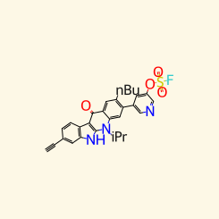 C#Cc1ccc2c(c1)[nH]c1c2c(=O)c2cc(CCCC)c(-c3cncc(OS(=O)(=O)F)c3)cc2n1C(C)C